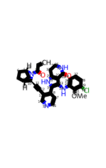 C=CC(=O)N1[C@H]2CC[C@H](C2)[C@@H]1C#Cc1cnccc1-c1[nH]c2c(c1Nc1cccc(Cl)c1OC)C(=O)NCC2